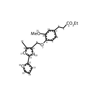 CCOC(=O)CCc1ccc(OCc2nc(-c3ccco3)oc2C)c(OC)c1